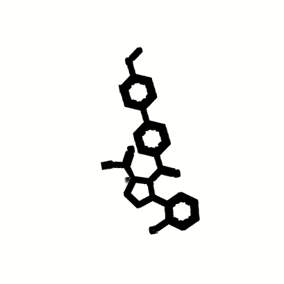 COc1ccc(-c2ccc(C(=O)N3C(c4ccccc4Cl)CC[C@H]3C(=O)O)cc2)cn1